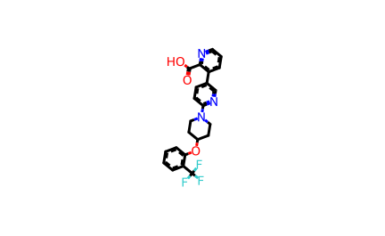 O=C(O)c1ncccc1-c1ccc(N2CCC(Oc3ccccc3C(F)(F)F)CC2)nc1